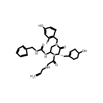 C=CCNCC(=O)N1C(NC(=O)NCc2ccccc2)CN(Cc2ccc(O)cc2F)C(=O)[C@@H]1CC1=CCC(O)CC1